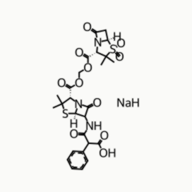 CC1(C)S[C@@H]2C(NC(=O)C(C(=O)O)c3ccccc3)C(=O)N2[C@H]1C(=O)OCOC(=O)[C@@H]1N2C(=O)C[C@H]2S(=O)(=O)C1(C)C.[NaH]